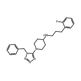 Fc1ccccc1CCCNC1CCN(c2nnnn2Cc2ccccc2)CC1